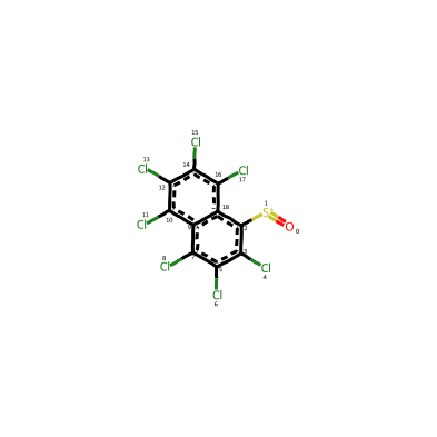 O=[S+]c1c(Cl)c(Cl)c(Cl)c2c(Cl)c(Cl)c(Cl)c(Cl)c12